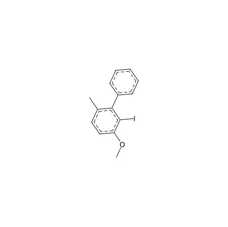 COc1ccc(C)c(-c2ccccc2)c1I